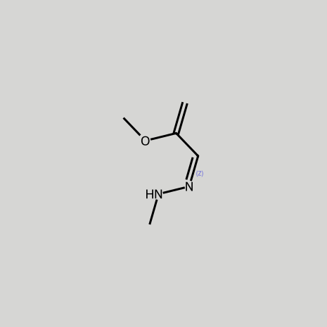 C=C(/C=N\NC)OC